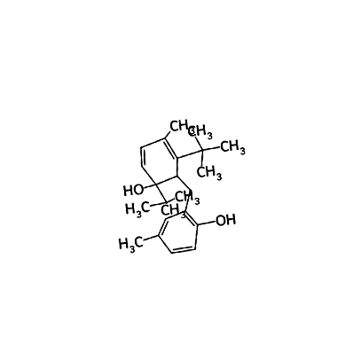 CC1=C(C(C)(C)C)C(Cc2cc(C)ccc2O)C(O)(C(C)(C)C)C=C1